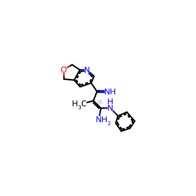 C/C(C(=N)c1cnc2c(c1)COC2)=C(\N)Nc1ccccc1